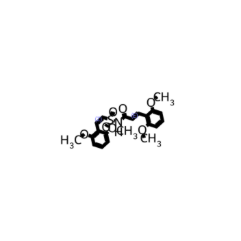 COc1cccc(OC)c1/C=C\S(=O)(=O)NC(=O)/C=C/c1c(OC)cccc1OC